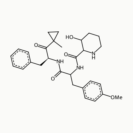 COc1ccc(CC(NC(=O)C2NCCCC2O)C(=O)N[C@@H](Cc2ccccc2)C(=O)C2(C)CC2)cc1